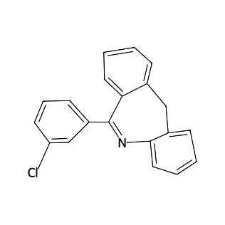 Clc1cccc(C2=Nc3ccccc3Cc3ccccc32)c1